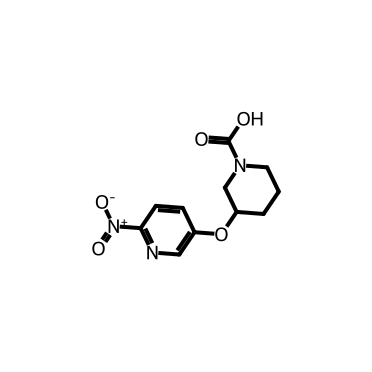 O=C(O)N1CCCC(Oc2ccc([N+](=O)[O-])nc2)C1